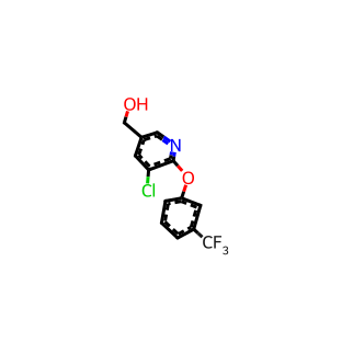 OCc1cnc(Oc2cccc(C(F)(F)F)c2)c(Cl)c1